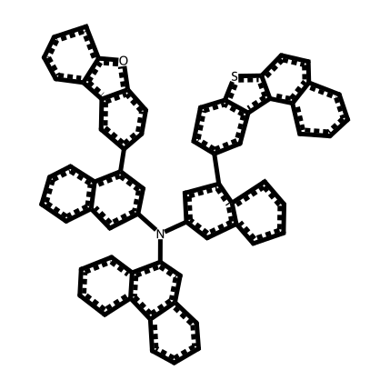 c1ccc2c(-c3ccc4oc5ccccc5c4c3)cc(N(c3cc(-c4ccc5sc6ccc7ccccc7c6c5c4)c4ccccc4c3)c3cc4ccccc4c4ccccc34)cc2c1